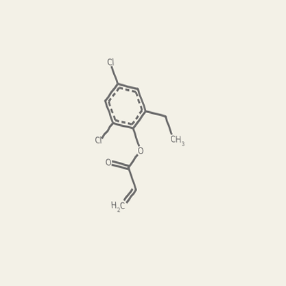 C=CC(=O)Oc1c(Cl)cc(Cl)cc1CC